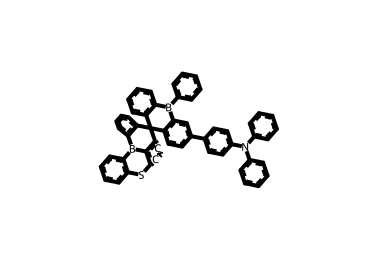 c1ccc(B2c3ccccc3C3(c4ccc(-c5ccc(N(c6ccccc6)c6ccccc6)cc5)cc42)c2ccccc2B2c4ccccc4Sc4cccc3c42)cc1